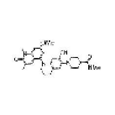 CNC(=O)C1CCN(c2cc3c(cc2C#N)N(c2cc(OC)cc4c2cc(C)c(=O)n4C)CCC3)CC1